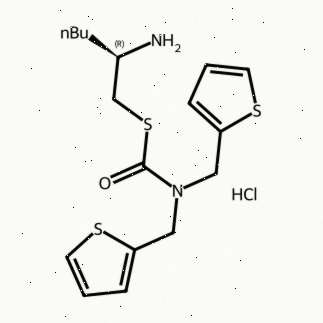 CCCC[C@@H](N)CSC(=O)N(Cc1cccs1)Cc1cccs1.Cl